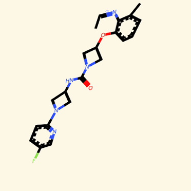 C/C=N\c1c(C)cccc1OC1CN(C(=O)NC2CN(c3ccc(F)cn3)C2)C1